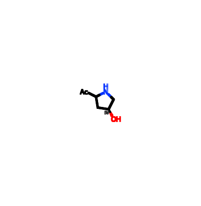 CC(=O)C1C[C@H](O)CN1